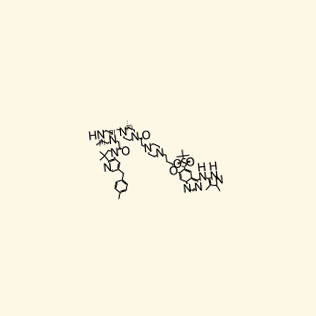 Cc1ccc(Cc2cnc3c(c2)N(C(=O)CN2C[C@@H](C)NC[C@@H]2CN2CCN(C(=O)CN4CCN(CCCOc5cc6ncnc(Nc7[nH]nc(C)c7C)c6cc5S(=O)(=O)C(C)(C)C)CC4)C[C@H]2C)CC3(C)C)cc1